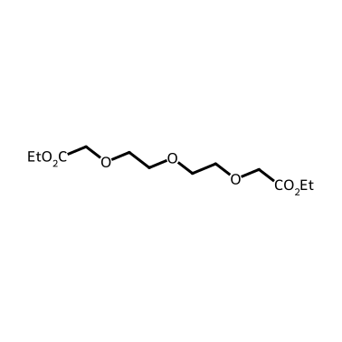 CCOC(=O)COCCOCCOCC(=O)OCC